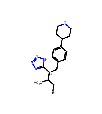 CC(C)CC(C(=O)O)[C@H](Cc1ccc(C2CCNCC2)cc1)c1nnn[nH]1